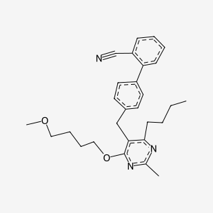 CCCCc1nc(C)nc(OCCCCOC)c1Cc1ccc(-c2ccccc2C#N)cc1